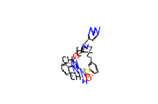 Cc1cccc(C)c1-c1cc2nc(n1)N[S+]([O-])c1cccc(c1)CCC1CCN(Cc3ccnnc3)C[C@@H]1CO2